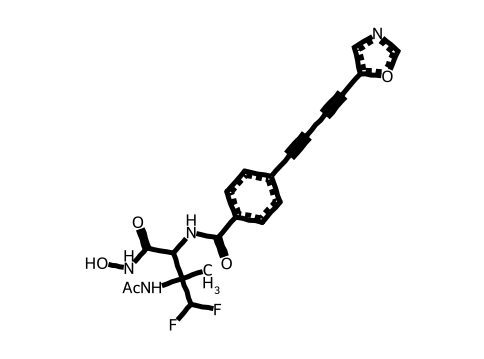 CC(=O)NC(C)(C(F)F)C(NC(=O)c1ccc(C#CC#Cc2cnco2)cc1)C(=O)NO